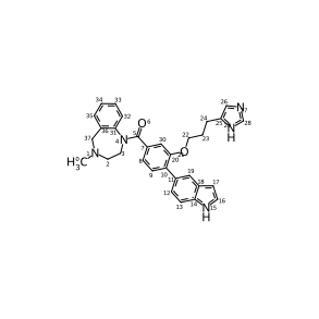 CN1CCN(C(=O)c2ccc(-c3ccc4[nH]ccc4c3)c(OCCCc3cnc[nH]3)c2)c2ccccc2C1